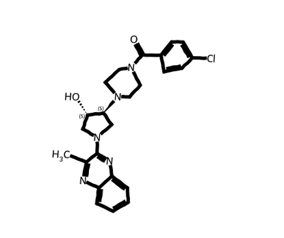 Cc1nc2ccccc2nc1N1C[C@H](O)[C@@H](N2CCN(C(=O)c3ccc(Cl)cc3)CC2)C1